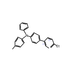 C=C(/C=C\C(=C/C)c1ccc(N(c2ccccc2)c2ccc(C)cc2)cc1)CC